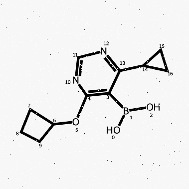 OB(O)c1c(OC2CCC2)ncnc1C1CC1